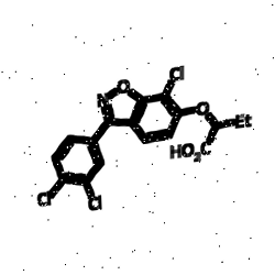 CCC(Oc1ccc2c(-c3ccc(Cl)c(Cl)c3)noc2c1Cl)C(=O)O